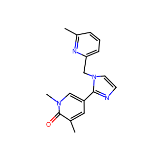 Cc1cccc(Cn2ccnc2-c2cc(C)c(=O)n(C)c2)n1